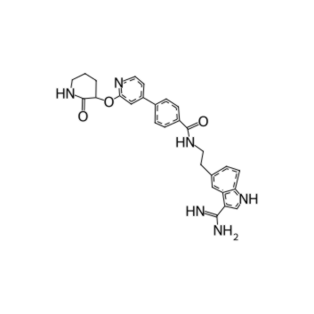 N=C(N)c1c[nH]c2ccc(CCNC(=O)c3ccc(-c4ccnc(OC5CCCNC5=O)c4)cc3)cc12